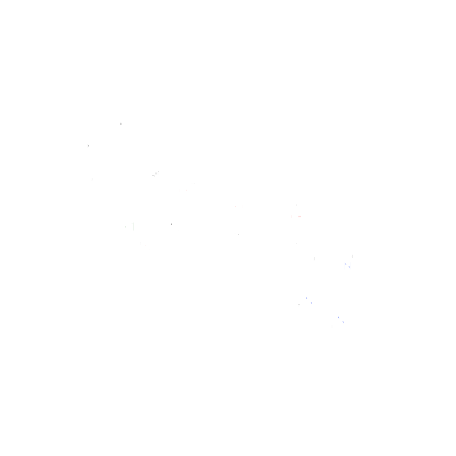 O=C(C=C(O)c1nc[nH]n1)c1ccoc1Oc1ccccc1Cl